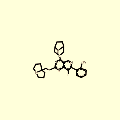 CCCc1ccccc1-c1ncc2c(N3CC4CCC(C3)N4)nc(OCC34CCCN3CCC4)nc2c1F